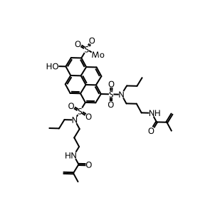 C=C(C)C(=O)NCCCN(CCC)S(=O)(=O)c1cc(S(=O)(=O)N(CCC)CCCNC(=O)C(=C)C)c2ccc3c([S](=O)(=O)[Mo])cc(O)c4ccc1c2c43